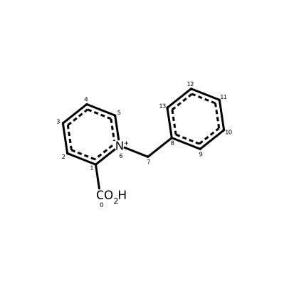 O=C(O)c1cccc[n+]1Cc1ccccc1